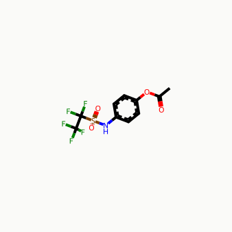 CC(=O)Oc1ccc(NS(=O)(=O)C(F)(F)C(F)(F)F)cc1